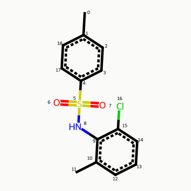 Cc1ccc(S(=O)(=O)Nc2c(C)cccc2Cl)cc1